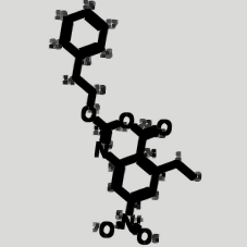 CCc1cc([N+](=O)[O-])cc2nc(OCCc3ccccc3)oc(=O)c12